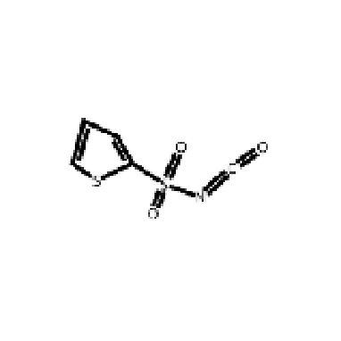 O=C=NS(=O)(=O)c1cccs1